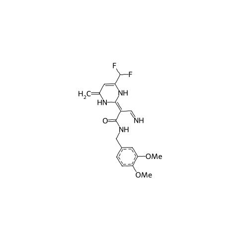 C=C1C=C(C(F)F)N/C(=C(\C=N)C(=O)NCc2ccc(OC)c(OC)c2)N1